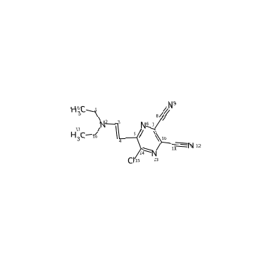 CCN(C=Cc1nc(C#N)c(C#N)nc1Cl)CC